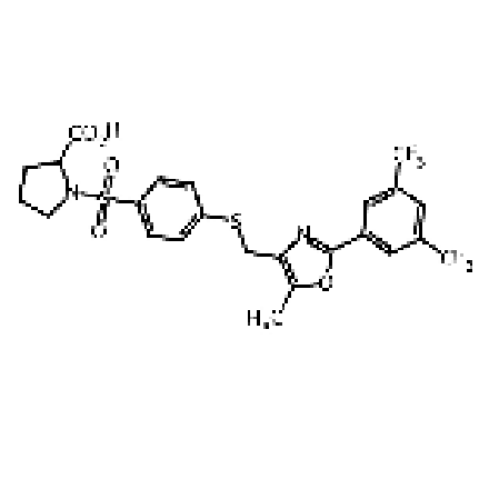 Cc1oc(-c2cc(C(F)(F)F)cc(C(F)(F)F)c2)nc1CSc1ccc(S(=O)(=O)N2CCCC2C(=O)O)cc1